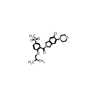 CC(C)COc1ccc(S(C)(=O)=O)cc1C(=O)N1Cc2cc(Cl)c(N3CCOCC3)cc2C1